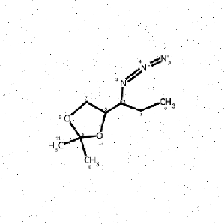 CCC(N=[N+]=[N-])C1COC(C)(C)O1